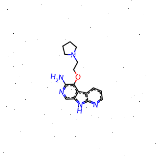 Nc1ncc2[nH]c3ncccc3c2c1OCCN1CCCC1